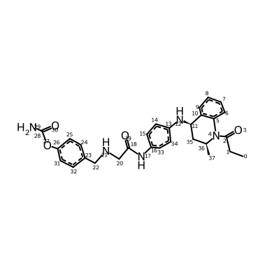 CCC(=O)N1c2ccccc2[C@H](Nc2ccc(NC(=O)CNCc3ccc(OC(N)=O)cc3)cc2)C[C@@H]1C